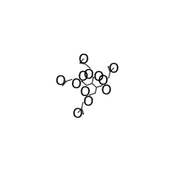 O=C(CC(C(=O)OCC1CO1)C(CC(=O)OCC1CO1)C(=O)OCC1CO1)OCC1CO1